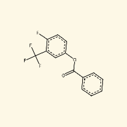 O=C(Oc1ccc(F)c(C(F)(F)F)c1)c1ccccc1